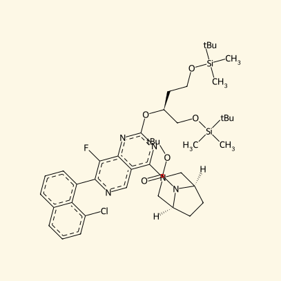 CC(C)(C)OC(=O)N1[C@@H]2CC[C@H]1CN(c1nc(O[C@@H](CCO[Si](C)(C)C(C)(C)C)CO[Si](C)(C)C(C)(C)C)nc3c(F)c(-c4cccc5cccc(Cl)c45)ncc13)C2